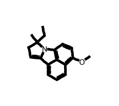 CCC1(C)CC=c2c3cccc4c(OC)ccc(c43)n21